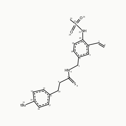 C=Cc1cc(CNC(=S)CCc2ccc(C(C)(C)C)cc2)ccc1NS(C)(=O)=O